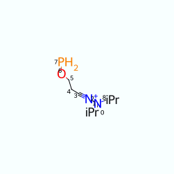 CC(C)N([N+]#CCCOP)C(C)C